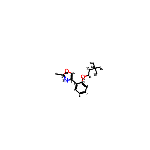 Cc1nc(-c2ccccc2OCCC(C)(C)C)co1